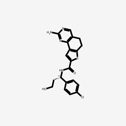 Nc1ncc2c(n1)-c1cc(C(=O)N[C@@H](CCO)c3ccc(Cl)cc3)sc1CC2